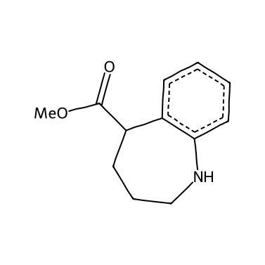 COC(=O)C1CCCNc2ccccc21